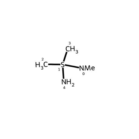 CNS(C)(C)N